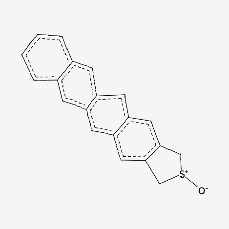 [O-][S+]1Cc2cc3cc4cc5ccccc5cc4cc3cc2C1